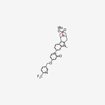 Cn1c2c(c3ccc(-n4ccc(OCc5ccc(C(F)(F)F)nc5)cc4=O)cc31)C1CCCC(C2)N1C(=O)OC(C)(C)C